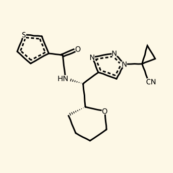 N#CC1(n2cc([C@@H](NC(=O)c3ccsc3)[C@H]3CCCCO3)nn2)CC1